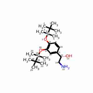 CC(C)(C)[Si](C)(C)Oc1ccc([C@H](O)CN)cc1O[Si](C)(C)C(C)(C)C